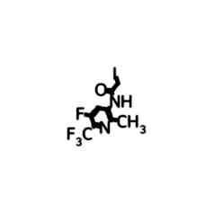 Cc1nc(C(F)(F)F)c(F)cc1NC(=O)CI